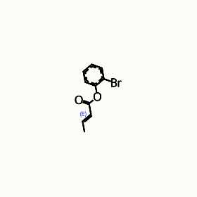 C/C=C/C(=O)Oc1ccccc1Br